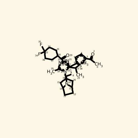 CC(=O)c1ccc([C@H](CCN2C3CCC2CC(n2c(C)nnc2C(C)C)C3)NC(=O)C2CCC(F)(F)CC2)s1